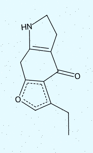 CCc1coc2c1C(=O)C1=C(C2)NCC1